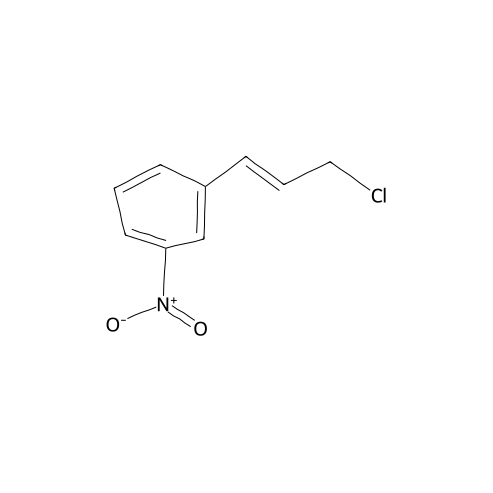 O=[N+]([O-])c1cccc(C=CCCl)c1